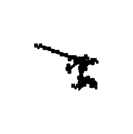 CCCOCCOCCOCCOCCOCCOCCC(=O)NCCCC[C@H](NC(=O)CCCCCN1C(=O)C=CC1=O)C(=O)N[C@H](C(=O)N[C@@H](CCCNC(N)=O)C(=O)Nc1ccc(COC(=O)N[C@H]2CCc3c(C)c(F)cc4nc5c(c2c34)Cn2c-5cc3c(c2=O)COC(=O)[C@]3(O)CC)cc1)C(C)C